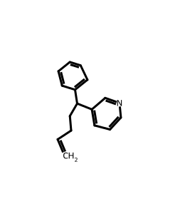 C=CCCC(c1ccccc1)c1cccnc1